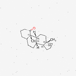 C[C@@]12CCC[C@H]1[C@@H]1CCC3CCCC(=O)[C@]3(C)[C@@H]1CC2